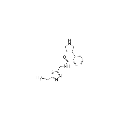 CCc1nnc(CNC(=O)c2ccccc2C2CCNC2)s1